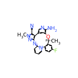 C[C@H]1Oc2cc(cnc2N)-c2c(nn(C)c2C#N)/N=C2/C=CC=CN2c2ccc(F)cc21